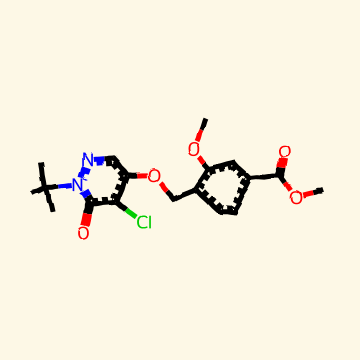 COC(=O)c1ccc(COc2cnn(C(C)(C)C)c(=O)c2Cl)c(OC)c1